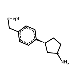 CCCCCCCCc1ccc([C@H]2CC[C](N)C2)cc1